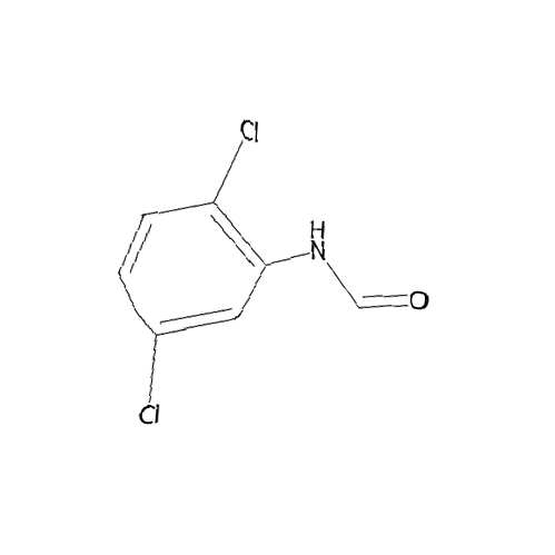 O=CNc1cc(Cl)ccc1Cl